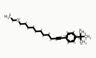 CCOCCCCCCCCCC#Cc1ccc(C(C)(C)C)cc1